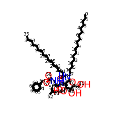 CCCCCCCCCCCCCCCCCCN(C(=O)CCCCCCCCCCCCCCC)[C@@H]1O[C@H](CO)[C@@H](O)[C@H](O)[C@H]1NC(=O)[C@H](CC(C)C)NC(=O)OCc1ccccc1